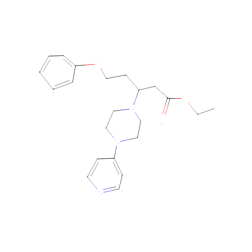 CCOC(=O)CC(CCOc1ccccc1)N1CCN(c2ccncc2)CC1